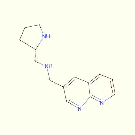 c1cnc2ncc(CNC[C@@H]3CCCN3)cc2c1